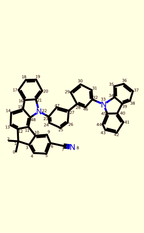 CC1(C)c2ccc(C#N)cc2-c2c1ccc1c3ccccc3n(-c3cccc(-c4cccc(-n5c6ccccc6c6ccccc65)c4)c3)c21